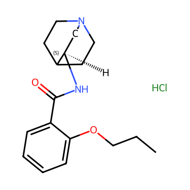 CCCOc1ccccc1C(=O)N[C@@H]1CN2CCC1CC2.Cl